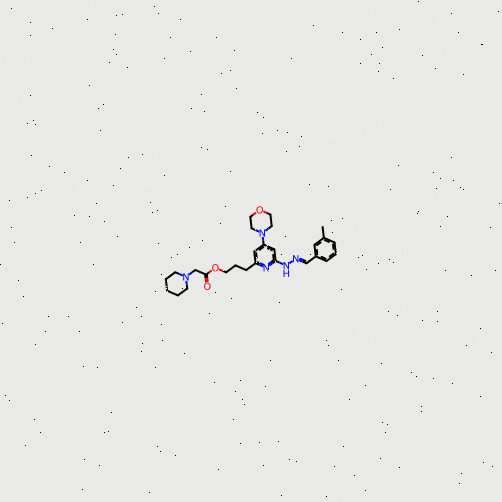 Cc1cccc(C=NNc2cc(N3CCOCC3)cc(CCCOC(=O)CN3CCCCC3)n2)c1